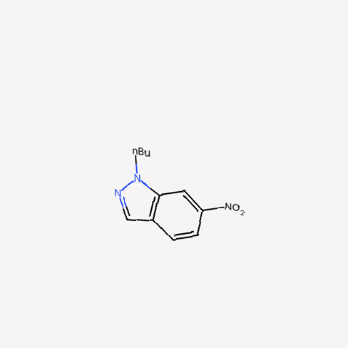 CCCCn1ncc2ccc([N+](=O)[O-])cc21